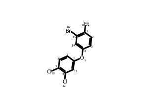 CCc1ccc(Oc2ccc(Cl)c(Cl)c2)cc1Br